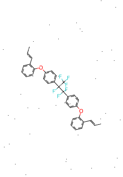 CC=Cc1ccccc1Oc1ccc(C(F)(F)C(F)(c2ccc(Oc3ccccc3C=CC)cc2)C(F)(F)F)cc1